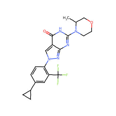 CC1COCCN1c1nc2nn(-c3ccc(C4CC4)cc3C(F)(F)F)cc2c(=O)[nH]1